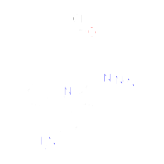 CC(=O)CCCCC[n+]1c(-c2ccccc2)c2cc(N)ccc2c2ccc(N=[N+]=[N-])cc21